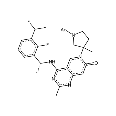 CC(=O)N1CCC(C)(n2cc3c(N[C@H](C)c4cccc(C(F)F)c4F)nc(C)nc3cc2=O)C1